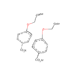 COCOc1ccc(C(=O)O)cc1.COCOc1ccc(C(=O)O)cc1